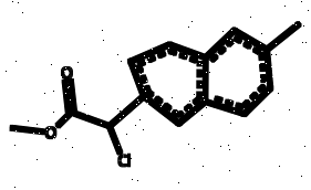 COC(=O)C(Cl)c1ccc2cc(C)ccc2c1